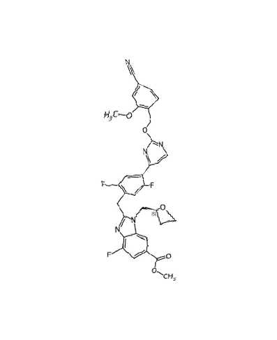 COC(=O)c1cc(F)c2nc(Cc3cc(F)c(-c4ccnc(OCc5ccc(C#N)cc5OC)n4)cc3F)n(C[C@@H]3CCO3)c2c1